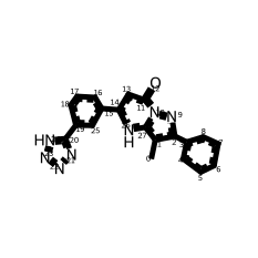 Cc1c(-c2ccccc2)nn2c(=O)cc(-c3cccc(-c4nnn[nH]4)c3)[nH]c12